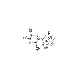 Oc1cc(Cl)c(Cl)cc1C1C[C@H]2CC[C@@H](C1)N2